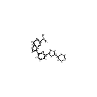 FC(F)c1cn2c(-c3nccc(N4CCC(C5CCOCC5)C4)n3)cnc2cn1